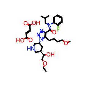 CCOCC(O)[C@H]1CNC[C@@H](n2nnc(C(=O)N(CC(C)C)c3ccccc3F)c2CCCCOC)C1.O=C(O)/C=C/C(=O)O